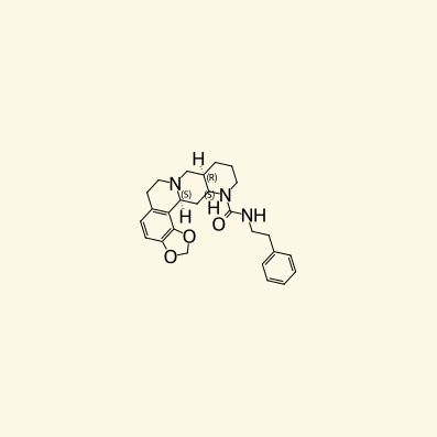 O=C(NCCc1ccccc1)N1CCC[C@@H]2CN3CCc4ccc5c(c4[C@@H]3C[C@@H]21)OCO5